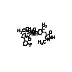 CSC(C)(C)[C@H]1CCC(c2cccc(F)c2)N1C(=O)CNC(=O)c1ccc(Cc2cc(C)n[nH]c2=O)c(C)c1